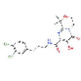 CC1(C)OCCn2c1nc(C(=O)NCCCc1ccc(Cl)c(Cl)c1)c(O)c2=O